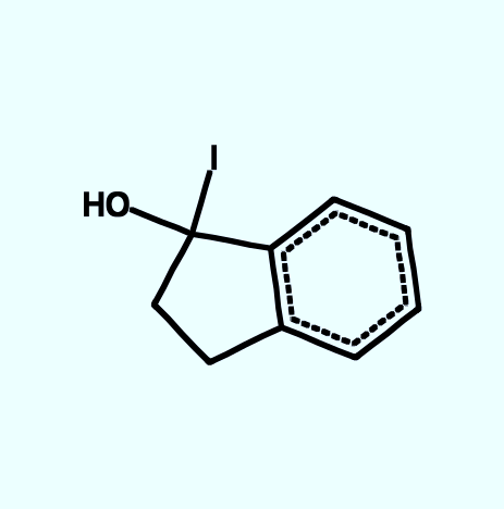 OC1(I)CCc2ccccc21